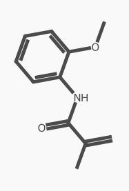 C=C(C)C(=O)Nc1ccccc1OC